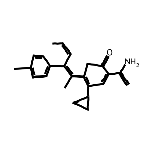 C=C(N)C1=CC(C2CC2)=C(/C(C)=C(\C=C/C)c2ccc(C)cc2)CC1=O